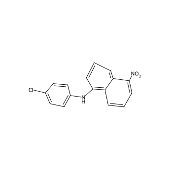 O=[N+]([O-])c1cccc2c(Nc3ccc(Cl)cc3)cccc12